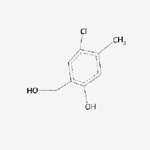 Cc1cc(O)c(CO)cc1Cl